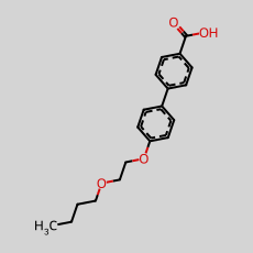 CCCCOCCOc1ccc(-c2ccc(C(=O)O)cc2)cc1